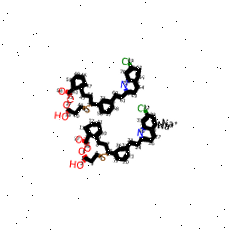 O=C(O)CCSC(CCc1ccccc1C(=O)[O-])c1cccc(C=Cc2ccc3ccc(Cl)cc3n2)c1.O=C(O)CCSC(CCc1ccccc1C(=O)[O-])c1cccc(C=Cc2ccc3ccc(Cl)cc3n2)c1.[Na+].[Na+]